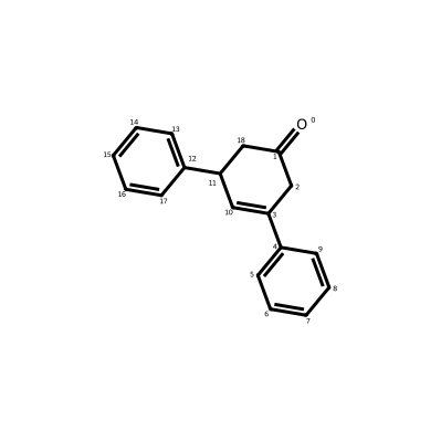 O=C1CC(c2ccccc2)=CC(c2ccccc2)C1